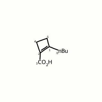 CCCCC1=C(C(=O)O)CC1